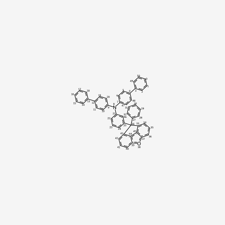 c1ccc(-c2ccc(N(c3ccc(-c4ccccc4)cc3)c3cccc(C4(c5ccccc5)c5cccc6oc7cccc4c7c56)c3)cc2)cc1